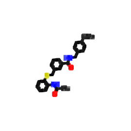 COc1ccc(CNC(=O)c2cccc(CSc3ccccc3NC(=O)C(C)(C)C)c2)cc1